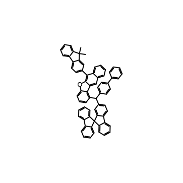 CC1(C)c2ccccc2-c2ccc(-c3c4ccccc4cc4c3oc3cccc(C(c5ccc(-c6ccccc6)cc5)c5ccc6c(c5)C5(c7ccccc7-c7ccccc75)c5ccccc5-6)c34)cc21